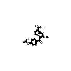 CSc1cc2n(c1C(=O)c1ccc(OC(C)C)cc1)CCC2C(=O)O